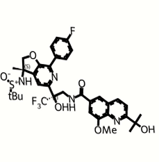 COc1cc(C(=O)NC[C@@](O)(c2cc3c(c(-c4ccc(F)cc4)n2)OC[C@@]3(C)N[S+]([O-])C(C)(C)C)C(F)(F)F)cc2ccc(C(C)(C)O)nc12